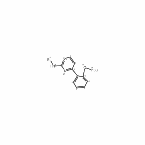 [CH2]CNc1nccc(-c2ccccc2OCCCC)n1